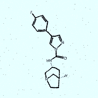 O=C(N[C@@H]1C[C@H]2CCN(C2)C1)n1cc(-c2ccc(F)cc2)cn1